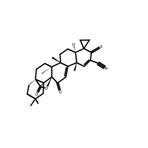 CC1(C)CC[C@@]23CC[C@]4(C)[C@](OC2=O)(C(=O)C=C2[C@@]5(C)C=C(C#N)C(=O)C6(CC6)[C@@H]5CC[C@]24C)[C@]3(C)C1